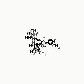 Cc1cc(C(=O)N[C@@H](CCCNC(=N)N[N+](C)=O)C(=O)N[C@@H](CC(C)C)B(O)O)ccc1F